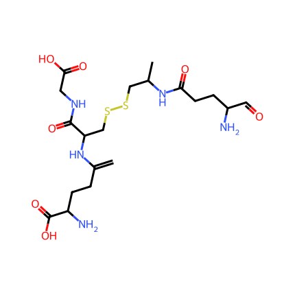 C=C(CCC(N)C(=O)O)NC(CSSCC(C)NC(=O)CCC(N)C=O)C(=O)NCC(=O)O